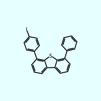 Ic1ccc(-c2cccc3c2sc2c(-c4ccccc4)cccc23)cc1